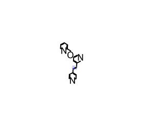 C(=C\c1cncc(OCc2ccccn2)c1)/c1ccncc1